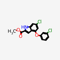 COC(=O)c1cc2c(Oc3cccc(Cl)c3)cc(Cl)cc2[nH]1